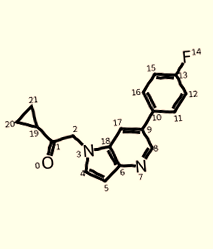 O=C(Cn1ccc2ncc(-c3ccc(F)cc3)cc21)C1CC1